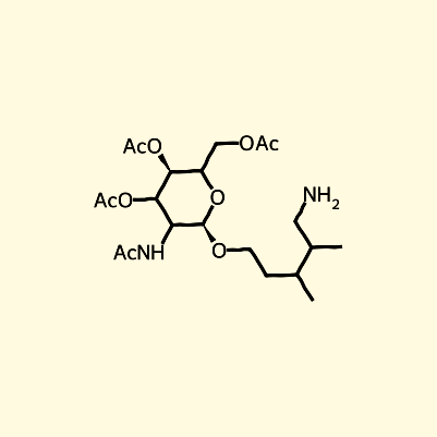 CC(=O)NC1C(OC(C)=O)[C@@H](OC(C)=O)C(COC(C)=O)O[C@H]1OCCC(C)C(C)CN